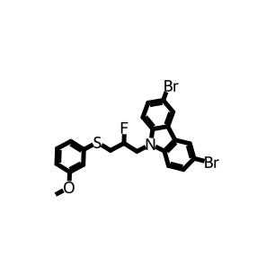 COc1cccc(SCC(F)Cn2c3ccc(Br)cc3c3cc(Br)ccc32)c1